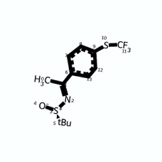 CC(=N[S@+]([O-])C(C)(C)C)c1ccc(SC(F)(F)F)cc1